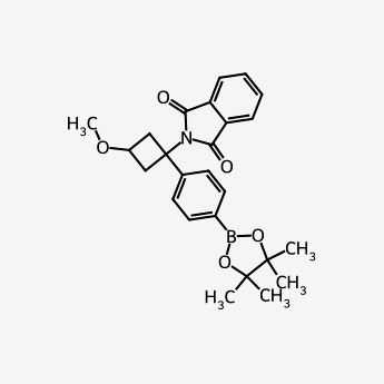 COC1CC(c2ccc(B3OC(C)(C)C(C)(C)O3)cc2)(N2C(=O)c3ccccc3C2=O)C1